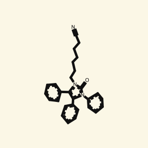 N#CCCCCCCn1c(-c2ccccc2)c(-c2ccccc2)n(-c2ccccc2)c1=O